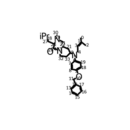 CC(C)=CCN(c1ccc(OCc2ccccc2)cc1)C1CCN(C(=O)C(CC(C)C)N(C)C)CC1